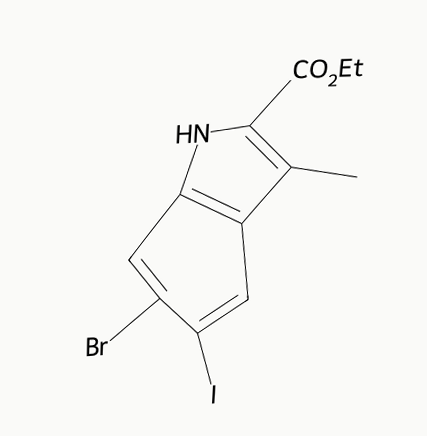 CCOC(=O)c1[nH]c2cc(Br)c(I)cc2c1C